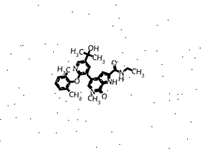 CCNC(=O)c1cc2c(-c3cc(C(C)(C)O)cnc3Oc3c(C)cccc3C)cn(C)c(=O)c2[nH]1